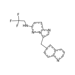 FC(F)(F)CNc1ccc2ncc(Cc3ccc4ncccc4c3)n2n1